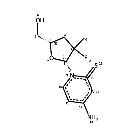 CC1(F)C[C@@H](CO)O[C@H]1n1ccc(N)nc1=S